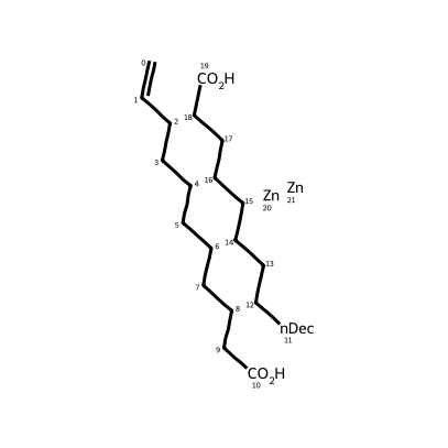 C=CCCCCCCCCC(=O)O.CCCCCCCCCCCCCCCCCC(=O)O.[Zn].[Zn]